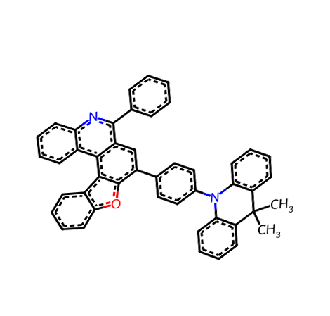 CC1(C)c2ccccc2N(c2ccc(-c3cc4c(-c5ccccc5)nc5ccccc5c4c4c3oc3ccccc34)cc2)c2ccccc21